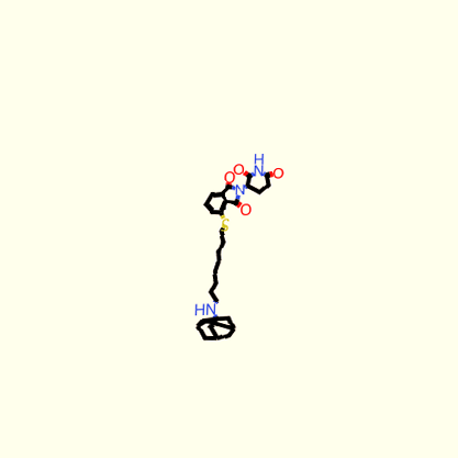 O=C1CCC(N2C(=O)c3cccc(SCCCCCCCCNC45CC6CC(CC(C6)C4)C5)c3C2=O)C(=O)N1